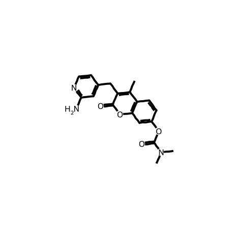 Cc1c(Cc2ccnc(N)c2)c(=O)oc2cc(OC(=O)N(C)C)ccc12